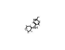 Cc1ncc(NC2CCOCC2)cn1